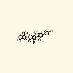 Cc1cc(C2CCC(C)CO2)cc(C)c1-c1cc(F)c(C(F)(F)Oc2cc(C(F)(F)F)c(C)c(C(F)(F)F)c2)c(F)c1